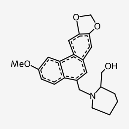 COc1ccc2c(CN3CCCCC3CO)cc3cc4c(cc3c2c1)OCO4